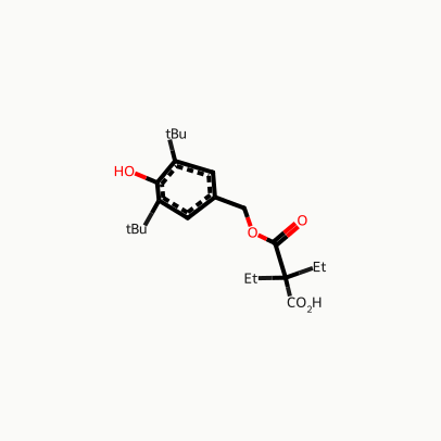 CCC(CC)(C(=O)O)C(=O)OCc1cc(C(C)(C)C)c(O)c(C(C)(C)C)c1